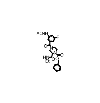 CCNC(=O)C1CN(C(=O)c2cc(F)cc(NC(C)=O)c2)CCN1C(=O)OCc1ccccc1